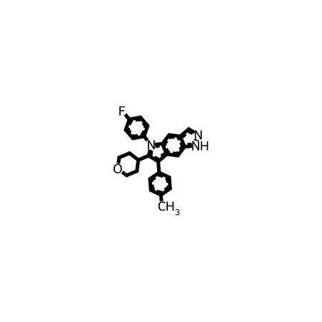 Cc1ccc(-c2c(C3CCOCC3)n(-c3ccc(F)cc3)c3cc4cn[nH]c4cc23)cc1